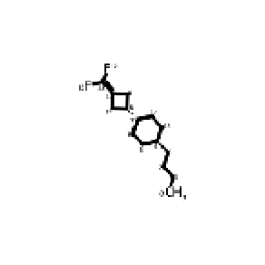 CCCC[C@H]1CC[C@H](C2CC(=C(F)F)C2)CC1